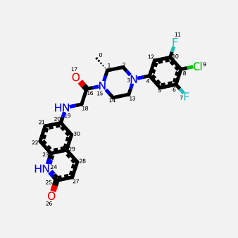 C[C@@H]1CN(c2cc(F)c(Cl)c(F)c2)CCN1C(=O)CNc1ccc2[nH]c(=O)ccc2c1